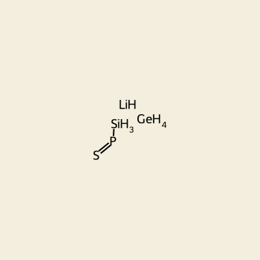 [GeH4].[LiH].[SiH3]P=S